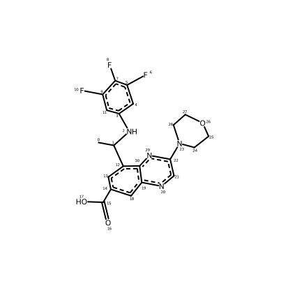 CC(Nc1cc(F)c(F)c(F)c1)c1cc(C(=O)O)cc2ncc(N3CCOCC3)nc12